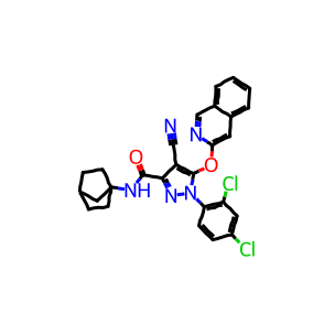 N#Cc1c(C(=O)NC23CCC(CC2)C3)nn(-c2ccc(Cl)cc2Cl)c1Oc1cc2ccccc2cn1